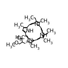 CCC1=C(C)c2cc3[nH]c(cc4nc(c(C)c5cc(C)c(cc1n2)[nH]5)[C@@H](CC(C=O)COC)[C@@H]4C)c(C)c3CC